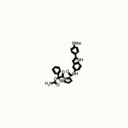 CNc1ccc(-c2cc3cc(NC(=O)[C@@H]4CCCN4C(=O)[C@](OC(N)=O)(c4ccccc4)C(C)(C)C)ccc3[nH]2)cc1